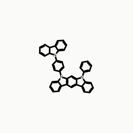 C1=CC2c3ccccc3N(c3ccc(-n4c5ccccc5c5cc6c7ccccc7n(-c7ccccc7)c6cc54)cc3)C2C=C1